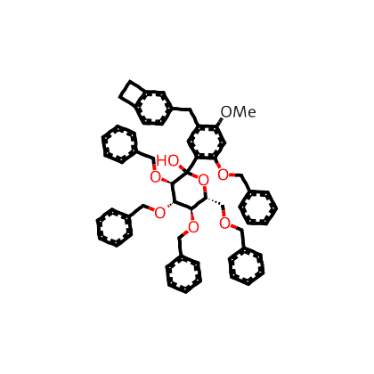 COc1cc(OCc2ccccc2)c(C2(O)O[C@H](COCc3ccccc3)[C@@H](OCc3ccccc3)[C@H](OCc3ccccc3)[C@H]2OCc2ccccc2)cc1Cc1ccc2c(c1)CC2